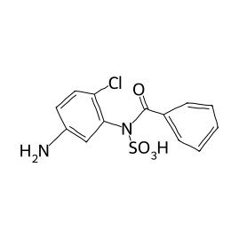 Nc1ccc(Cl)c(N(C(=O)c2ccccc2)S(=O)(=O)O)c1